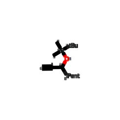 C#CC(O[Si](C)(C)C(C)(C)C)C(C)CCC